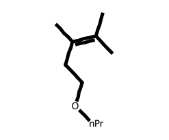 [CH2]CCOCCC(C)=C(C)C